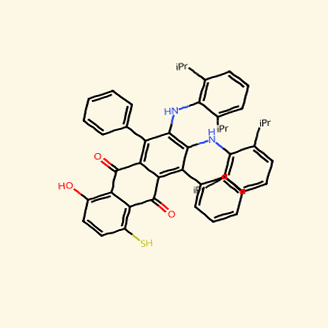 CC(C)c1cccc(C(C)C)c1Nc1c(Nc2c(C(C)C)cccc2C(C)C)c(-c2ccccc2)c2c(c1-c1ccccc1)C(=O)c1c(O)ccc(S)c1C2=O